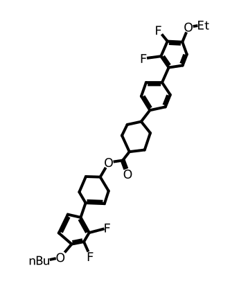 CCCCOc1ccc(C2=CCC(OC(=O)C3CCC(c4ccc(-c5ccc(OCC)c(F)c5F)cc4)CC3)CC2)c(F)c1F